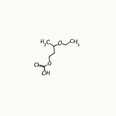 CCOC(C)CCOC(=O)O